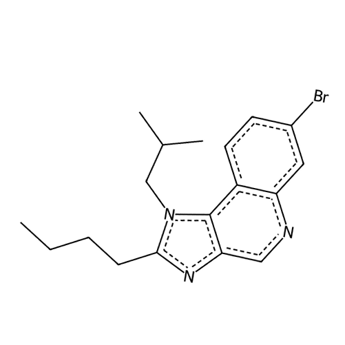 CCCCc1nc2cnc3cc(Br)ccc3c2n1CC(C)C